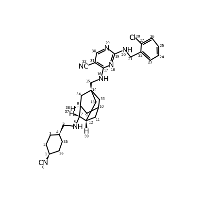 [C-]#[N+][C@H]1CC[C@@H](CN[C@@H]2[C@@H]3CC4C[C@H]2C[C@@](CNc2nc(NCc5ccccc5Cl)ncc2C#N)(C4)C3)CC1